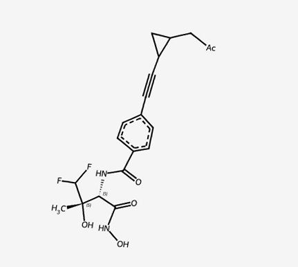 CC(=O)CC1CC1C#Cc1ccc(C(=O)N[C@H](C(=O)NO)[C@](C)(O)C(F)F)cc1